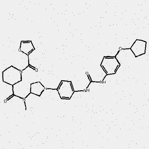 CN(C(=O)C1CCCN(C(=O)c2ccco2)C1)C1CCN(c2ccc(NC(=O)Nc3ccc(OC4CCCC4)cc3)cc2)C1